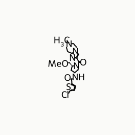 COC[C@@H]1C[C@@H](NC(=O)c2ccc(Cl)s2)CN1C(=O)c1cn2c(n1)CCN(C)CC2